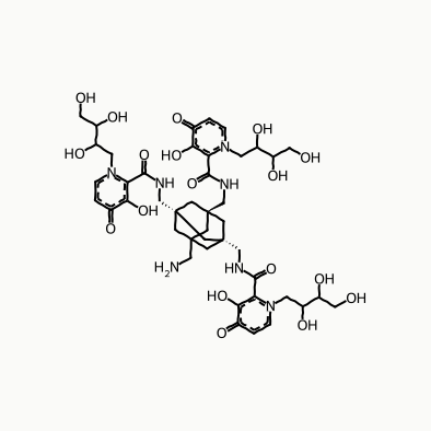 NCC12C[C@]3(CNC(=O)c4c(O)c(=O)ccn4CC(O)C(O)CO)C[C@](CNC(=O)c4c(O)c(=O)ccn4CC(O)C(O)CO)(C1)C[C@](CNC(=O)c1c(O)c(=O)ccn1CC(O)C(O)CO)(C2)C3